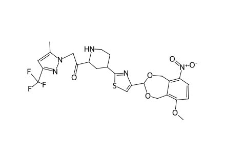 COc1ccc([N+](=O)[O-])c2c1COC(c1csc(C3CCNC(C(=O)Cn4nc(C(F)(F)F)cc4C)C3)n1)OC2